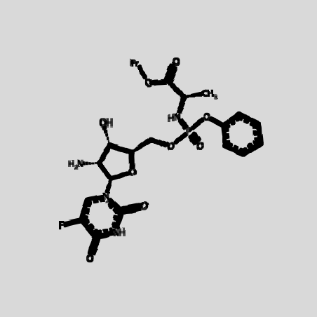 CC(C)OC(=O)[C@@H](C)NP(=O)(OC[C@H]1O[C@@H](n2cc(F)c(=O)[nH]c2=O)[C@H](N)[C@@H]1O)Oc1ccccc1